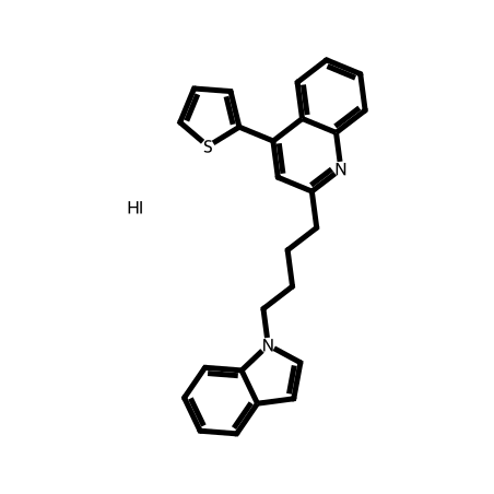 I.c1csc(-c2cc(CCCCn3ccc4ccccc43)nc3ccccc23)c1